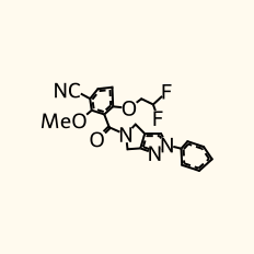 COc1c(C#N)ccc(OCC(F)F)c1C(=O)N1Cc2cn(-c3ccccc3)nc2C1